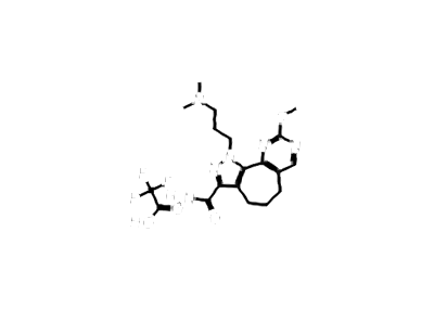 CSc1ncc2c(n1)-c1c(c(C(N)=O)nn1CCCN(C)C)CCC2.O=C(O)C(F)(F)F